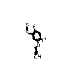 C#CCOc1cc(N=C=S)c(F)cc1Cl